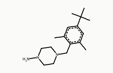 Cc1cc(C(C)(C)C)cc(C)c1CN1CCN(N)CC1